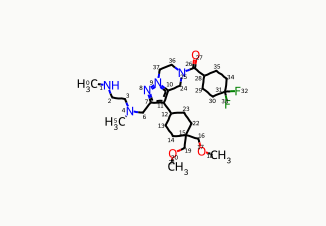 CNCCN(C)Cc1nn2c(c1C1CCC(COC)(COC)CC1)CN(C(=O)C1CCC(F)(F)CC1)CC2